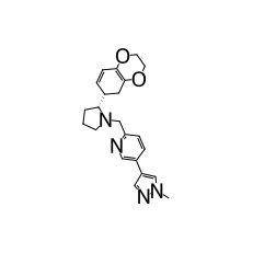 Cn1cc(-c2ccc(CN3CCC[C@@H]3C3C=CC4=C(C3)OCCO4)nc2)cn1